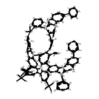 CC(C)(C)c1ccc2c(c1)c1cc(C(C)(C)C)ccc1n2-c1cc2c(c(C#N)c1-c1ccc3c(c1)n1c4cc(-c5ccccc5)ccc4nc1n3-c1ccccc1)-c1ccc3c(c1)n1c4cc(-c5ccccc5)ccc4nc1n3-c1ccccc1C(C)(C)c1ccc3c(c1)c1cc(C(C)(C)C)ccc1n3-2